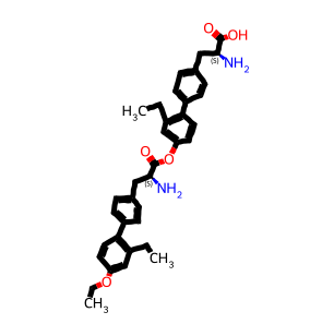 CCOc1ccc(-c2ccc(C[C@H](N)C(=O)Oc3ccc(-c4ccc(C[C@H](N)C(=O)O)cc4)c(CC)c3)cc2)c(CC)c1